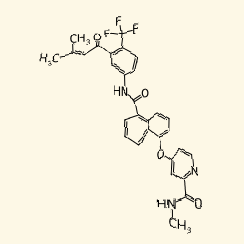 CNC(=O)c1cc(Oc2cccc3c(C(=O)Nc4ccc(C(F)(F)F)c(C(=O)C=C(C)C)c4)cccc23)ccn1